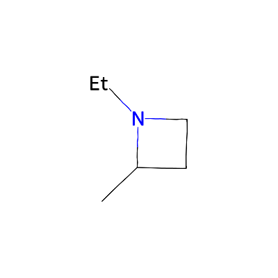 [CH2]CN1CCC1C